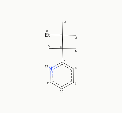 CCC(C)(C)C(C)(C)c1ccccn1